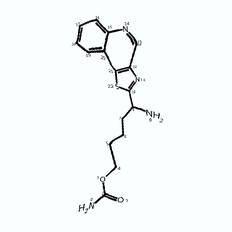 NC(=O)OCCCCC(N)c1nc2cnc3ccccc3c2s1